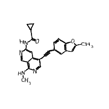 CNc1ncc(C#Cc2ccc3oc(C)cc3c2)c2cc(NC(=O)C3CC3)ncc12